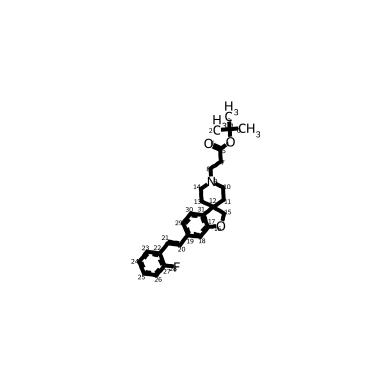 CC(C)(C)OC(=O)CCN1CCC2(CC1)COc1cc(/C=C/c3ccccc3F)ccc12